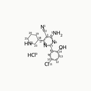 Cl.N#Cc1c(N)nc(-c2cc(Cl)ccc2O)nc1C1CCCNC1